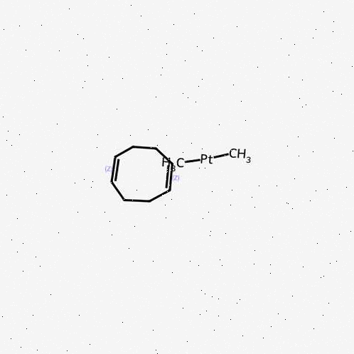 C1=C\CC/C=C\CC/1.[CH3][Pt][CH3]